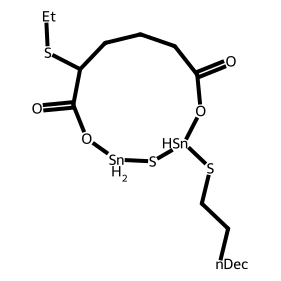 CCCCCCCCCCCC[S][SnH]1[O]C(=O)CCCC(SCC)C(=O)[O][SnH2][S]1